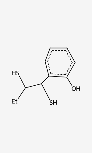 CCC(S)C(S)c1ccccc1O